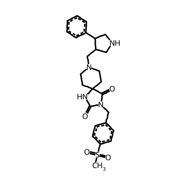 CS(=O)(=O)c1ccc(CN2C(=O)NC3(CCN(CC4CNCC4c4ccccc4)CC3)C2=O)cc1